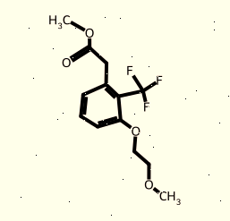 COCCOc1cccc(CC(=O)OC)c1C(F)(F)F